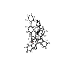 c1ccc(-c2nnn(-c3ccccc3)c2-c2cccc3c4ccccc4n(-c4ccccc4-n4c5ccccc5c5c6oc7ccccc7c6ccc54)c23)cc1